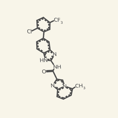 Cc1cccc2nc(C(=O)Nc3nc4cc(-c5cc(C(F)(F)F)ccc5Cl)ccc4[nH]3)cn12